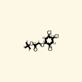 CC(C)(C)OC(=O)COc1cc(Cl)c(Cl)cc1Cl